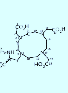 C=C(CN1CCN(CC(=O)O)CCN(CC(=O)O)CCN(CC(=O)O)CC1)NC(C)C